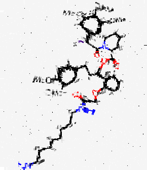 COc1ccc(CC[C@@H](OC(=O)[C@@H]2CCCCN2C(=O)[C@@H](I)c2cc(OC)c(OC)c(OC)c2)c2ccccc2OCC(=O)NCCCCCCCCN)cc1OC